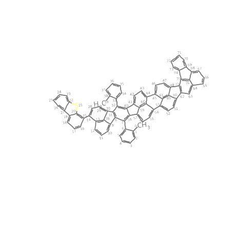 Cc1ccccc1-c1c2c3cccc4c(-c5cccc6c5sc5ccccc56)ccc(c2c(-c2ccccc2C)c2c5ccc6c7ccc8c9c(ccc(c%10ccc(c12)c5c%106)c79)c1cc2cccc5c6ccccc6c(c25)c18)c43